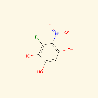 O=[N+]([O-])c1c(O)cc(O)c(O)c1F